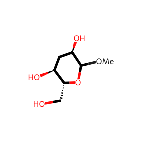 COC1O[C@H](CO)[C@@H](O)[CH][C@H]1O